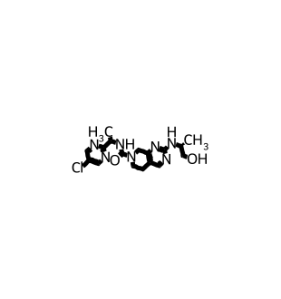 CC(NC(=O)N1CCc2cnc(N[C@@H](C)CO)nc2C1)c1ncc(Cl)cn1